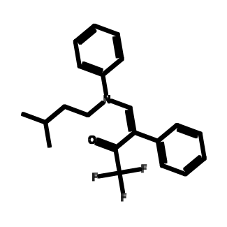 CC(C)CCN(/C=C(\C(=O)C(F)(F)F)c1ccccc1)c1ccccc1